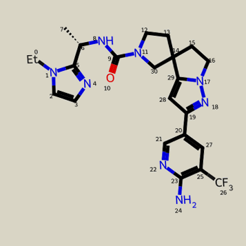 CCn1ccnc1[C@H](C)NC(=O)N1CCC2(CCn3nc(-c4cnc(N)c(C(F)(F)F)c4)cc32)C1